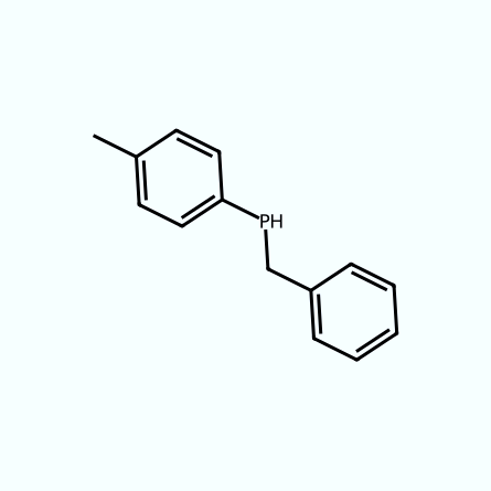 Cc1ccc(PCc2ccccc2)cc1